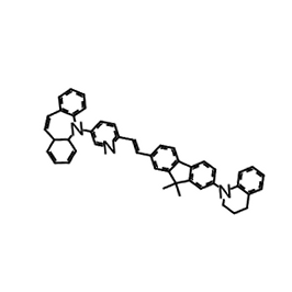 CC1(C)c2cc(/C=C/c3ccc(N4c5ccccc5C=CC5C=CC=CC54)cn3)ccc2-c2ccc(N3CCCc4ccccc43)cc21